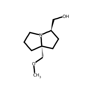 COC[C@]12CCCN1[C@@H](CO)CC2